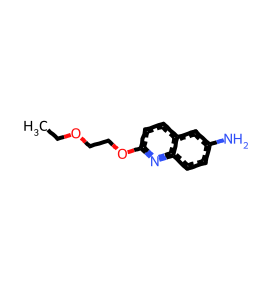 CCOCCOc1ccc2cc(N)ccc2n1